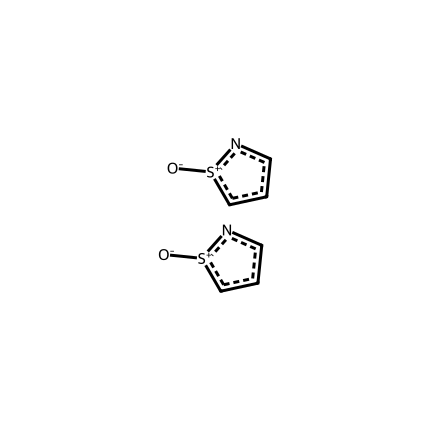 [O-][s+]1cccn1.[O-][s+]1cccn1